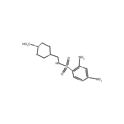 O=C(O)N1CCC(CNS(=O)(=O)c2ccc([N+](=O)[O-])cc2[N+](=O)[O-])CC1